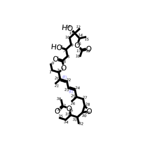 CCC(OC(=O)CC(O)CCC(C)(O)C(C)OC(C)=O)/C(C)=C/C=C/C(C)CC1OC1C(C)C(CC)OC(C)=O